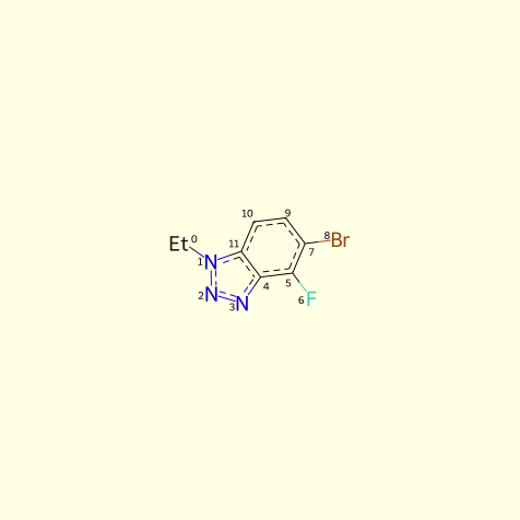 CCn1nnc2c(F)c(Br)ccc21